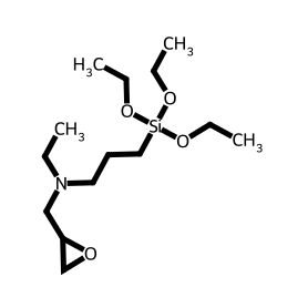 CCO[Si](CCCN(CC)CC1CO1)(OCC)OCC